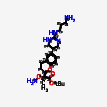 CC(C)(C)OC(=O)[C@@](C)(ON)[C@H]1CCc2cc([C@@H]3CN=C(NCCCN)NC3)ccc2O1